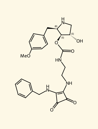 COc1ccc(C[C@H]2NC[C@H](O)[C@H]2OC(=O)NCCNc2c(NCc3ccccc3)c(=O)c2=O)cc1